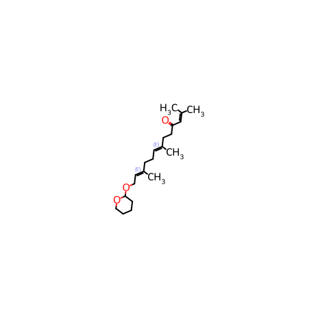 CC(C)=CC(=O)CC/C(C)=C/CC/C(C)=C/COC1CCCCO1